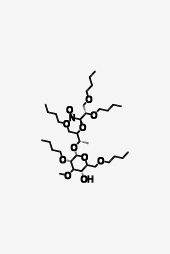 CCCCOCC1O[C@@H](O[C@@H](C)C(COCCCC)O[C@@H](N=O)[C@H](COCCCC)OCCCC)[C@@H](OCCCC)C(OC)[C@H]1O